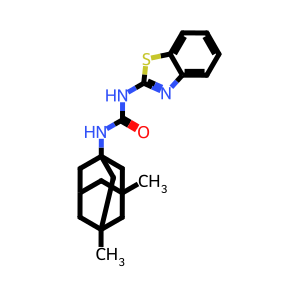 CC12CC3CC(C)(C1)CC(NC(=O)Nc1nc4ccccc4s1)(C3)C2